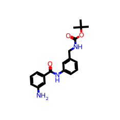 CC(C)(C)OC(=O)NCc1cccc(NC(=O)c2cccc(N)c2)c1